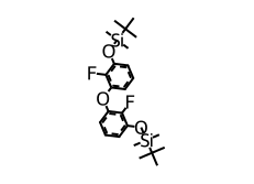 CC(C)(C)[Si](C)(C)Oc1cccc(Oc2cccc(O[Si](C)(C)C(C)(C)C)c2F)c1F